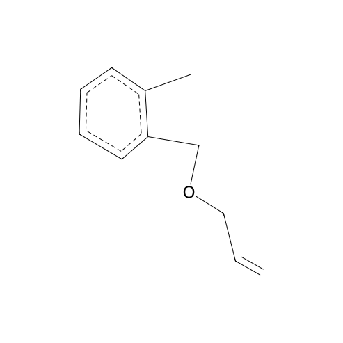 C=CCOCc1ccccc1C